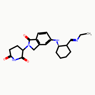 CC/N=C/C1CCCC[C@H]1Nc1ccc2c(c1)CN(C1CCC(=O)NC1=O)C2=O